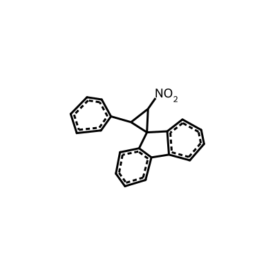 O=[N+]([O-])C1C(c2ccccc2)C12c1ccccc1-c1ccccc12